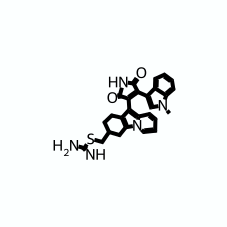 Cn1cc(C2=C(c3c4c(n5ccccc35)CC(CSC(=N)N)CC4)C(=O)NC2=O)c2ccccc21